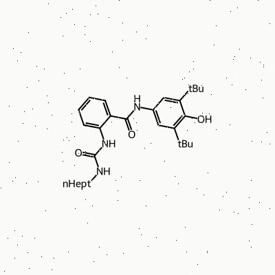 CCCCCCCNC(=O)Nc1ccccc1C(=O)Nc1cc(C(C)(C)C)c(O)c(C(C)(C)C)c1